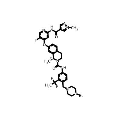 CCN1CCN(Cc2ccc(NC(=O)N3CCc4ccc(Oc5cc(NC(=O)c6cnn(C)c6)ncc5F)cc4[C@@H]3C)cc2C(C)(F)F)CC1